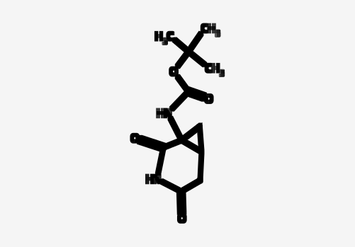 CC(C)(C)OC(=O)NC12CC1CC(=O)NC2=O